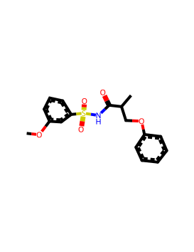 COc1cccc(S(=O)(=O)NC(=O)C(C)COc2ccccc2)c1